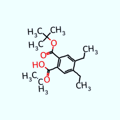 CC.CCc1cc(C(=O)O)c(C(=O)OC(C)(C)C)cc1CC